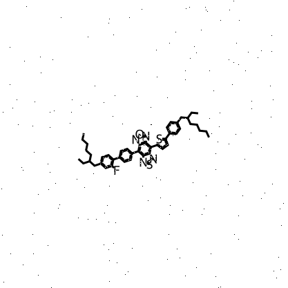 CCCCCC(CC)Cc1ccc(-c2ccc(-c3c4c(c(-c5ccc(-c6ccc(CC(CC)CCCCC)cc6F)cc5)c5nonc35)N=S=N4)s2)cc1